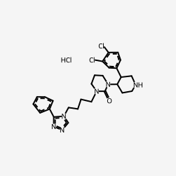 Cl.O=C1N(CCCCn2cnnc2-c2ccccc2)CCCN1C1CCNCC1c1ccc(Cl)c(Cl)c1